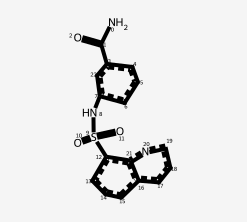 NC(=O)c1cccc(NS(=O)(=O)c2cccc3cccnc23)c1